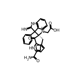 N=C(N)C(c1ccccc1)(c1ccccc1)[C@@](Cc1cccs1)(NCC(=O)O)C(=O)C1CCC(C(N)=O)N1